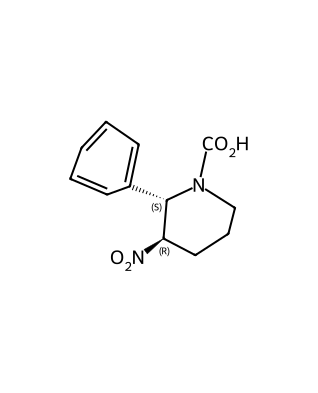 O=C(O)N1CCC[C@@H]([N+](=O)[O-])[C@@H]1c1ccccc1